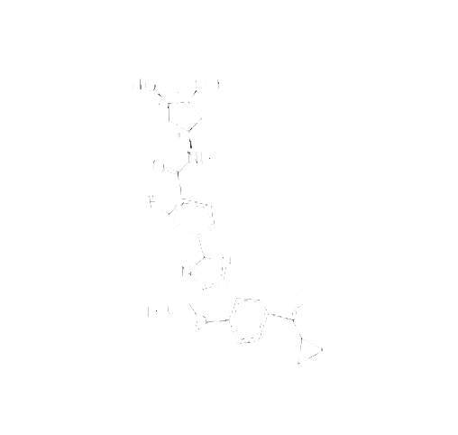 C[C@@H](Oc1ccc(C(=O)C2CC2)cc1)c1nc(-c2ccc(C(=O)N[C@H]3C[C@@H](O)[C@@H](O)C3)c(F)c2)no1